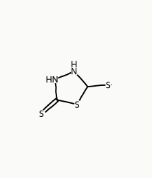 [S]C1NNC(=S)S1